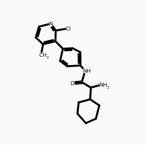 Cc1ccnc(Cl)c1-c1ccc(NC(=O)C(N)C2CCCCC2)cc1